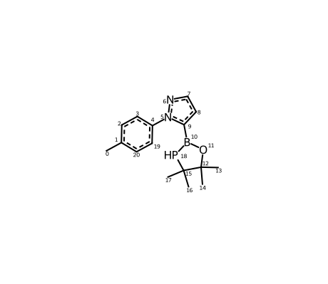 Cc1ccc(-n2nccc2B2OC(C)(C)C(C)(C)P2)cc1